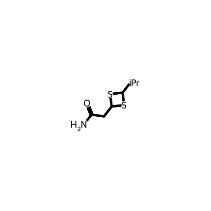 CC(C)C1SC(CC(N)=O)S1